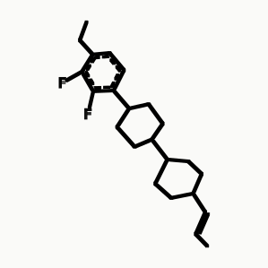 C/C=C/C1CCC(C2CCC(c3ccc(CC)c(F)c3F)CC2)CC1